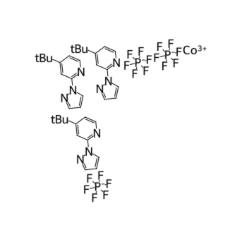 CC(C)(C)c1ccnc(-n2cccn2)c1.CC(C)(C)c1ccnc(-n2cccn2)c1.CC(C)(C)c1ccnc(-n2cccn2)c1.F[P-](F)(F)(F)(F)F.F[P-](F)(F)(F)(F)F.F[P-](F)(F)(F)(F)F.[Co+3]